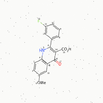 COc1ccc2[nH]c(-c3cccc(F)c3)c(C(=O)O)c(=O)c2c1